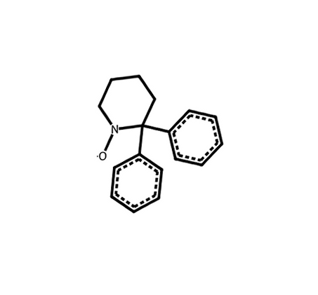 [O]N1CCCCC1(c1ccccc1)c1ccccc1